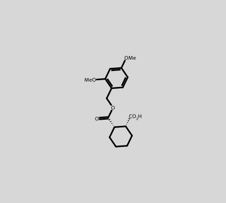 COc1ccc(COC(=O)[C@H]2CCCC[C@H]2C(=O)O)c(OC)c1